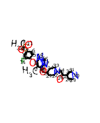 Cc1c(Oc2ccc(S(C)(=O)=O)cc2F)ncnc1OC1CCN(CC(=O)c2ccncc2)CC1